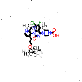 CC(C)c1nccc(CCCO[Si](C)(C)C(C)(C)C)c1-n1c(=O)nc(N2CCN(C(=O)O)C[C@@H]2C)c2cc(F)c(Cl)nc21